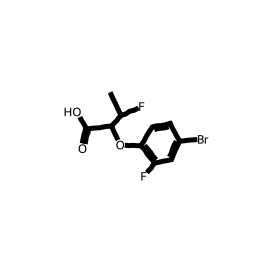 CC(F)C(Oc1ccc(Br)cc1F)C(=O)O